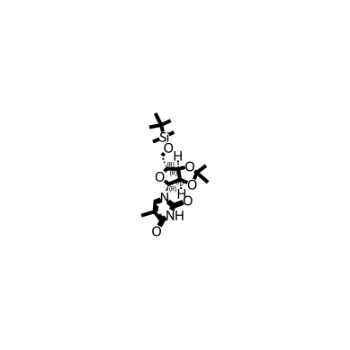 Cc1cn([C@@H]2O[C@H](CO[Si](C)(C)C(C)(C)C)[C@H]3OC(C)(C)O[C@H]32)c(=O)[nH]c1=O